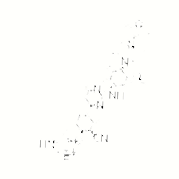 CCOc1cc(Nc2nccc(-c3ccc(OC4CCNCC4(F)F)c(C#N)c3)n2)ccc1N1CCN(C2COC2)CC1